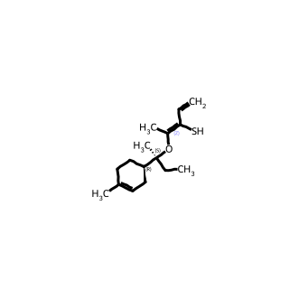 C=C/C(S)=C(\C)O[C@@](C)(CC)[C@H]1CC=C(C)CC1